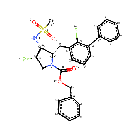 CCS(=O)(=O)N[C@H]1[C@@H](F)CN(C(=O)OCc2ccccc2)[C@H]1Cc1cccc(-c2ccccc2)c1F